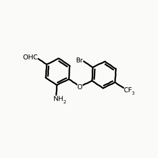 Nc1cc(C=O)ccc1Oc1cc(C(F)(F)F)ccc1Br